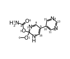 COC1(OC(N)=O)N=CC(c2cncnc2)=CN1